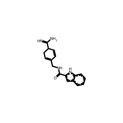 N=C(N)C1C=CC(CNC(=O)c2cc3ccccc3[nH]2)=CC1